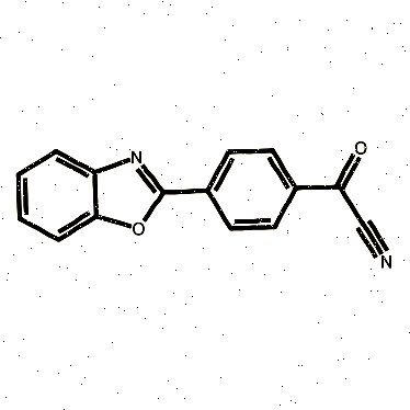 N#CC(=O)c1ccc(-c2nc3ccccc3o2)cc1